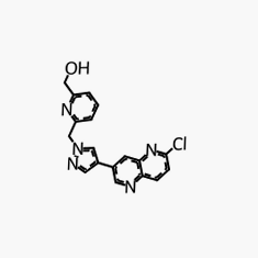 OCc1cccc(Cn2cc(-c3cnc4ccc(Cl)nc4c3)cn2)n1